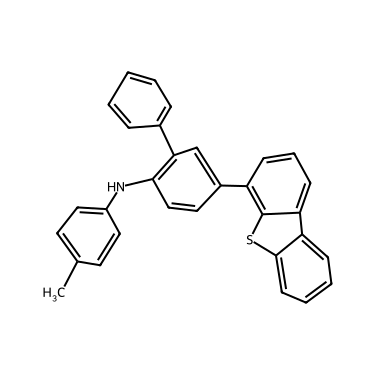 Cc1ccc(Nc2ccc(-c3cccc4c3sc3ccccc34)cc2-c2ccccc2)cc1